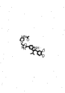 COc1ccc(-c2[nH]c3ccc(-c4nnc(CN5CCC(NC(C)=O)C5)o4)cc3c2C(C)C)cc1OC